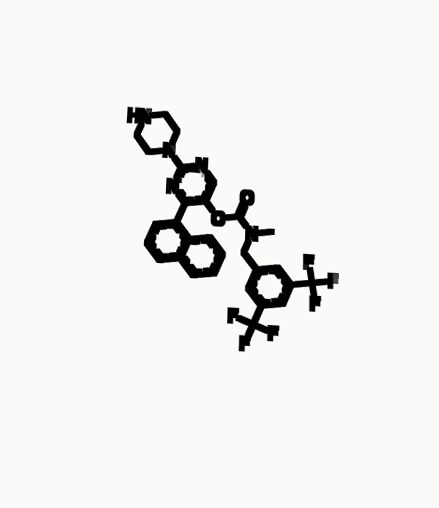 CN(Cc1cc(C(F)(F)F)cc(C(F)(F)F)c1)C(=O)Oc1cnc(N2CCNCC2)nc1-c1cccc2ccccc12